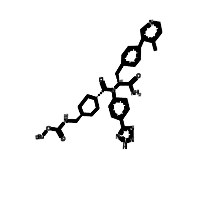 Cc1ccncc1-c1ccc(C[C@@H](C(N)=O)N(c2ccc(-c3nn[nH]n3)cc2)C(=O)[C@H]2CC[C@H](CNC(=O)OC(C)(C)C)CC2)cc1